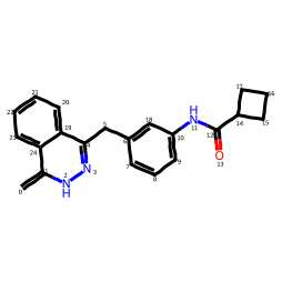 C=C1NN=C(Cc2cccc(NC(=O)C3CCC3)c2)c2ccccc21